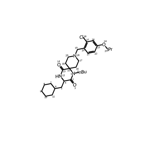 CCCCN1C(=O)C(CC2CCCCC2)NC(=O)C12CCN(Cc1ccc(OC(C)C)cc1Cl)CC2